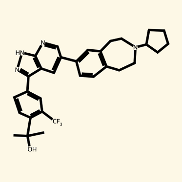 CC(C)(O)c1ccc(-c2n[nH]c3ncc(-c4ccc5c(c4)CCN(C4CCCC4)CC5)cc23)cc1C(F)(F)F